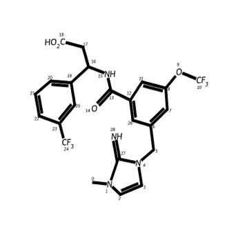 Cn1ccn(Cc2cc(OC(F)(F)F)cc(C(=O)NC(CC(=O)O)c3cccc(C(F)(F)F)c3)c2)c1=N